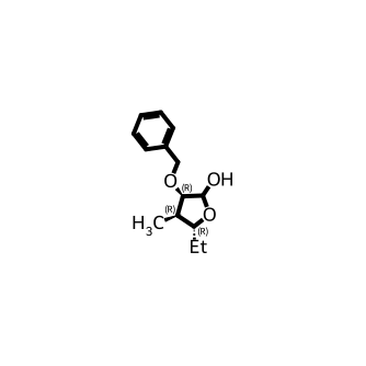 CC[C@H]1OC(O)[C@H](OCc2ccccc2)[C@@H]1C